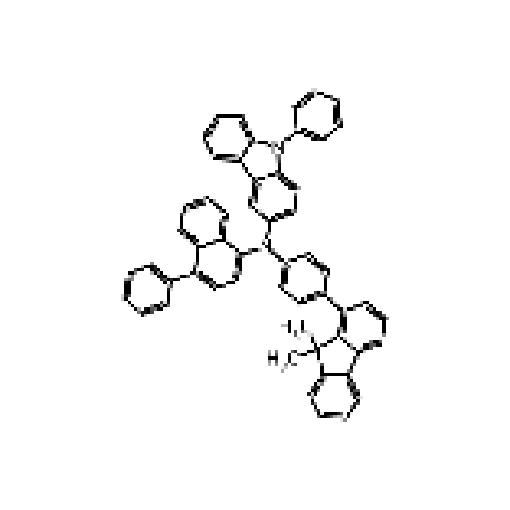 CC1(C)c2ccccc2-c2cccc(-c3ccc(N(c4ccc5c(c4)c4ccccc4n5-c4ccccc4)c4ccc(-c5ccccc5)c5ccccc45)cc3)c21